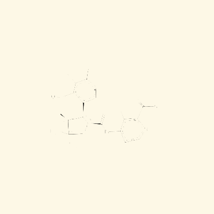 COc1c([C@H]2[C@@H](C(=O)Nc3ccnc(C(N)=O)c3C)O[C@](C)(C(F)(F)F)[C@H]2C)ccc(F)c1F